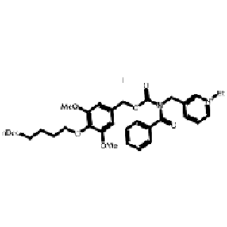 CCCCCCCCCCCCCCOc1c(OC)cc(COC(=O)N(Cc2ccc[n+](CC)c2)C(=O)c2ccccc2)cc1OC.[I-]